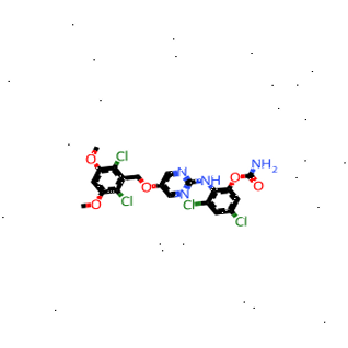 COc1cc(OC)c(Cl)c(COc2cnc(Nc3c(Cl)cc(Cl)cc3OC(N)=O)nc2)c1Cl